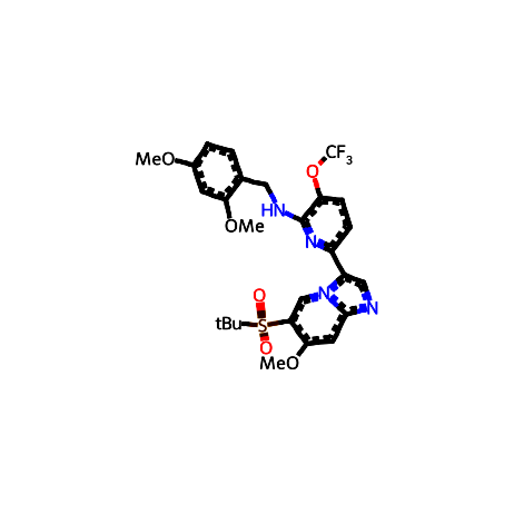 COc1ccc(CNc2nc(-c3cnc4cc(OC)c(S(=O)(=O)C(C)(C)C)cn34)ccc2OC(F)(F)F)c(OC)c1